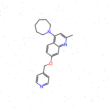 Cc1cc(N2CCCCCC2)c2ccc(OCc3ccncc3)cc2n1